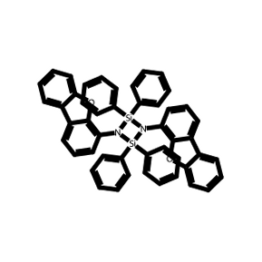 c1ccc([Si]2(c3ccccc3)N(c3cccc4c3oc3ccccc34)[Si](c3ccccc3)(c3ccccc3)N2c2cccc3c2oc2ccccc23)cc1